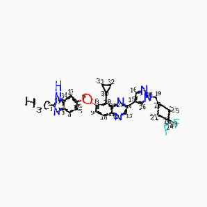 Cc1nc2ccc(Oc3ccc4ncc(-c5cnn(CC6CC(F)(F)C6)c5)nc4c3C3CC3)cc2[nH]1